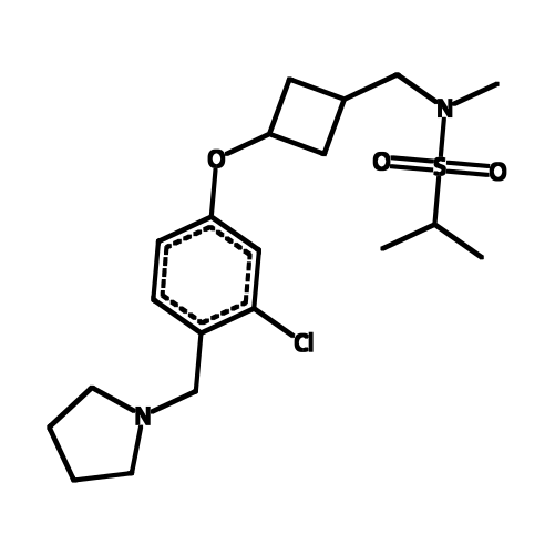 CC(C)S(=O)(=O)N(C)CC1CC(Oc2ccc(CN3CCCC3)c(Cl)c2)C1